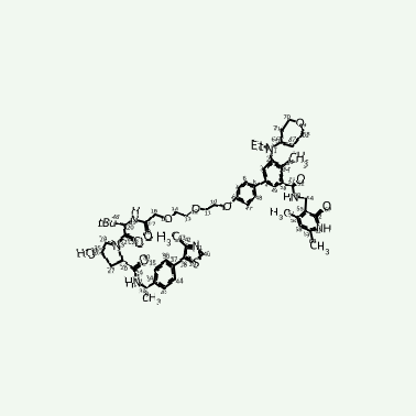 CCN(c1cc(-c2ccc(OCCOCCOCC(=O)NC(C(=O)N3C[C@@H](O)C[C@@H]3C(=O)N[C@@H](C)c3ccc(-c4scnc4C)cc3)C(C)(C)C)cc2)cc(C(=O)NCc2c(C)cc(C)[nH]c2=O)c1C)C1CCOCC1